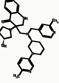 Cc1ccc(N2CCC[C@H](N(Cc3ccnc(C)c3)CC3(N4CC[C@@H](O)C4)CNc4ccccc4C3=O)C2)cn1